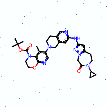 Cc1c(N2CCc3cnc(Nc4cc5n(n4)CC(=O)N(C4CC4)CC5)cc3C2)cnc2c1N(C(=O)OC(C)(C)C)CCO2